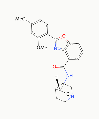 COc1ccc(-c2nc3c(C(=O)N[C@@H]4CN5CCC4CC5)cccc3o2)c(OC)c1